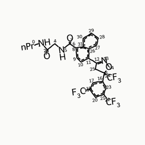 CCCNC(=O)CNC(=O)c1ccc(C2=NOC(c3cc(C(F)(F)F)cc(C(F)(F)F)c3)(C(F)(F)F)C2)c2ccccc12